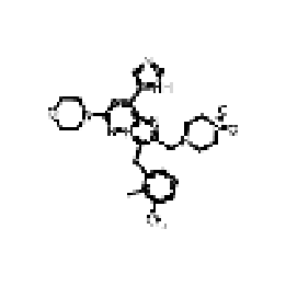 Cc1c(Cc2c(CN3CCS(=O)(=O)CC3)nc3c(-c4cnc[nH]4)cc(N4CCOCC4)nn23)cccc1C(F)(F)F